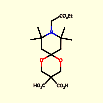 CCOC(=O)CN1C(C)(C)CC2(CC1(C)C)OCC(C(=O)O)(C(=O)O)CO2